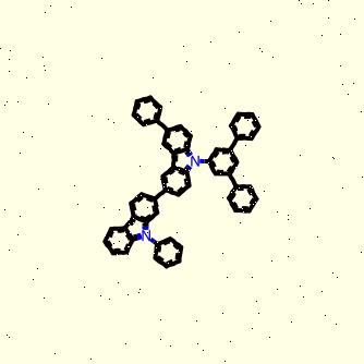 c1ccc(-c2cc(-c3ccccc3)cc(-n3c4ccc(-c5ccccc5)cc4c4cc(-c5ccc6c7ccccc7n(-c7ccccc7)c6c5)ccc43)c2)cc1